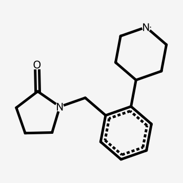 O=C1CCCN1Cc1ccccc1C1CC[N]CC1